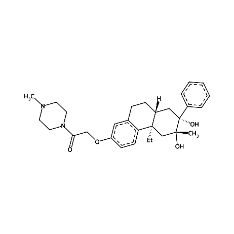 CC[C@@]12C[C@@](C)(O)[C@](O)(c3ccccc3)C[C@H]1CCc1cc(OCC(=O)N3CCN(C)CC3)ccc12